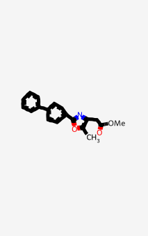 COC(=O)Cc1nc(-c2ccc(-c3ccccc3)cc2)oc1C